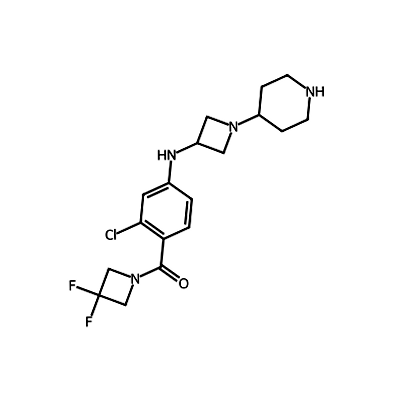 O=C(c1ccc(NC2CN(C3CCNCC3)C2)cc1Cl)N1CC(F)(F)C1